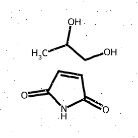 CC(O)CO.O=C1C=CC(=O)N1